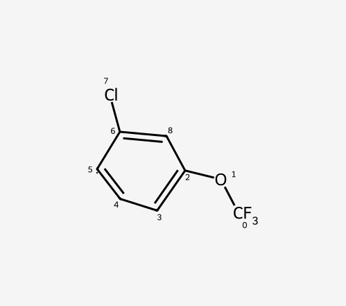 FC(F)(F)Oc1cc[c]c(Cl)c1